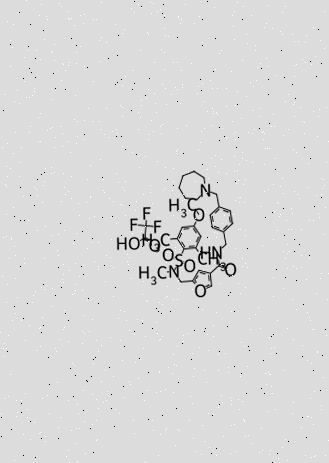 COc1cc(C)c(S(=O)(=O)N(C)Cc2cc(C(=O)NCc3ccc(CN4CCCCCC4)cc3)co2)c(C)c1.O=C(O)C(F)(F)F